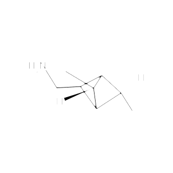 C[C@H]1C2C(CN)C1[C@H]2C